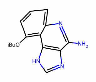 CC(C)COc1cccc2nc(N)c3nc[nH]c3c12